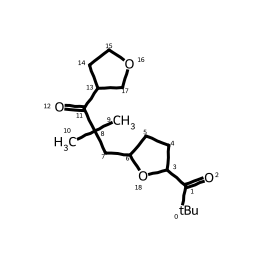 CC(C)(C)C(=O)C1CCC(CC(C)(C)C(=O)C2CCOC2)O1